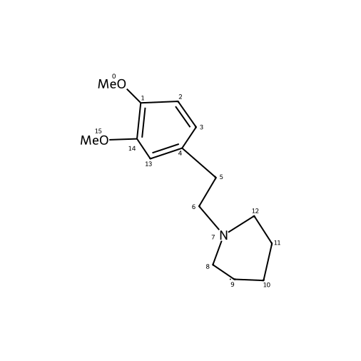 COc1ccc(CCN2C[CH]CCC2)cc1OC